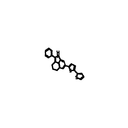 c1ccc(-c2[nH]c3cc(-c4ccc(-c5cccs5)s4)cc4c3c2CCC4)cc1